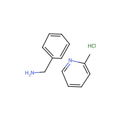 Cc1ccccn1.Cl.NCc1ccccc1